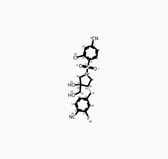 N#Cc1ccc(S(=O)(=O)N2C[C@H](Cc3ccc(C#N)c(F)c3)[C@](O)(CO)C2)c(Cl)c1